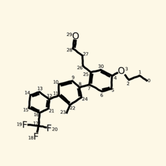 CCCOc1ccc(-c2ccc(-c3cccc(C(F)(F)F)c3)c(C)c2)c(CCC=O)c1